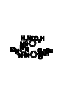 CCCCNS(=O)(=O)c1ccc(Nc2nc(NC3CCCCC3)nc3c2ncn3CC)cc1.NC(=O)O